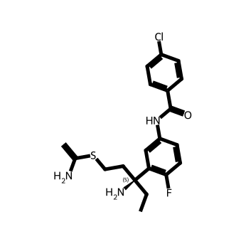 C=C(N)SCC[C@@](N)(CC)c1cc(NC(=O)c2ccc(Cl)cc2)ccc1F